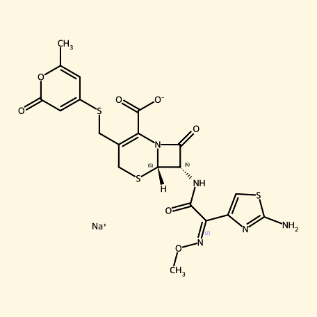 CO/N=C(\C(=O)N[C@H]1C(=O)N2C(C(=O)[O-])=C(CSc3cc(C)oc(=O)c3)CS[C@@H]12)c1csc(N)n1.[Na+]